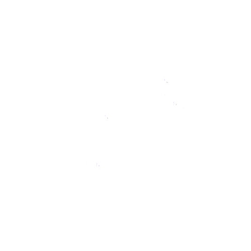 CC(=N)c1cccc(-c2ccc(-c3ccc(C(=N)N)cc3)[nH]2)c1